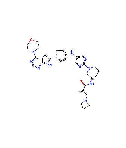 C=C(CN1CCC1)C(=O)N[C@@H]1CCCN(c2ncc(Nc3ccc(-c4cc5c(N6CCOCC6)ncnc5[nH]4)cc3)cn2)C1